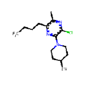 Cc1nc(Cl)c(N2CCC(C#N)CC2)nc1CCCC(F)(F)F